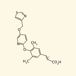 Cc1cc(/C=C/C(=O)O)cc(C)c1Oc1ccc(OCc2cscn2)cn1